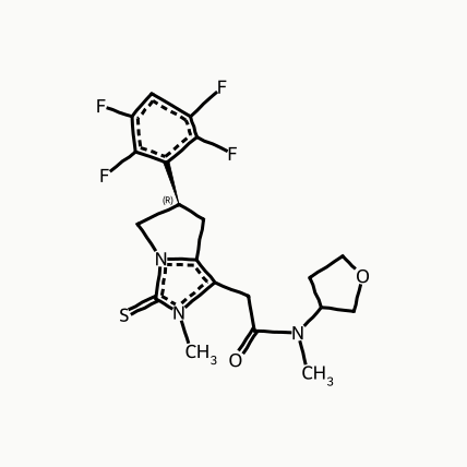 CN(C(=O)Cc1c2n(c(=S)n1C)C[C@@H](c1c(F)c(F)cc(F)c1F)C2)C1CCOC1